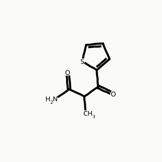 CC(C(N)=O)C(=O)c1cccs1